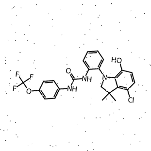 CC1(C)CN(c2ccccc2NC(=O)Nc2ccc(OC(F)(F)F)cc2)c2c(O)ccc(Cl)c21